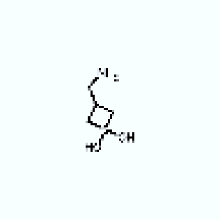 NCC1CS(O)(O)C1